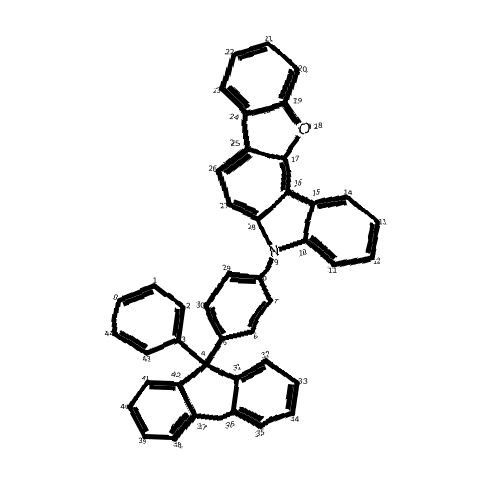 c1ccc(C2(c3ccc(-n4c5ccccc5c5c6oc7ccccc7c6ccc54)cc3)c3ccccc3-c3ccccc32)cc1